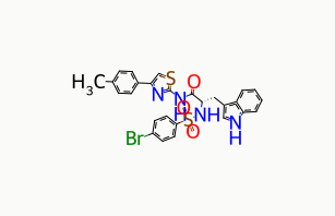 Cc1ccc(-c2csc(NC(=O)[C@H](Cc3c[nH]c4ccccc34)NS(=O)(=O)c3ccc(Br)cc3)n2)cc1